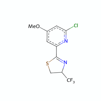 COc1cc(Cl)nc(C2=NC(C(F)(F)F)CS2)c1